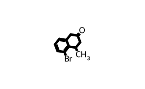 CC1CC(=O)Cc2cccc(Br)c21